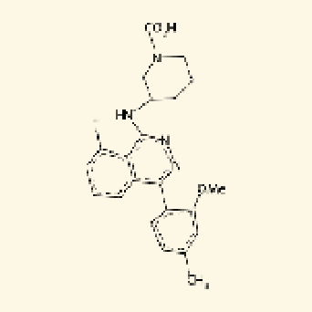 COc1cc(C)ccc1-c1nnc(NC2CCCN(C(=O)O)C2)c2c(F)cccc12